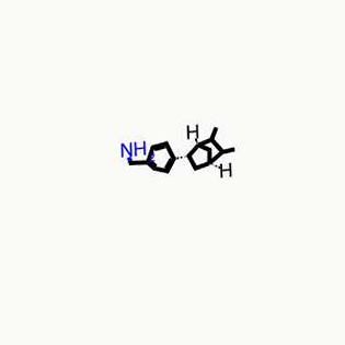 CC1C(C)[C@H]2C[C@@H]1C[C@@H]2c1ccc(CN)cc1